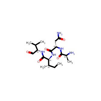 CC[C@H](C)[C@H](NC(=O)[C@H](CC(N)=O)NC(=O)[C@H](C)N)C(=O)N[C@H]([C]=O)C(C)C